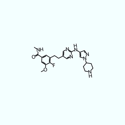 CNC(=O)c1cc(CCc2cnc(Nc3cnn(C4CCNCC4)c3)nc2)c(F)c(OC)c1